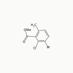 COC(=O)c1c(C)ccc(Br)c1Cl